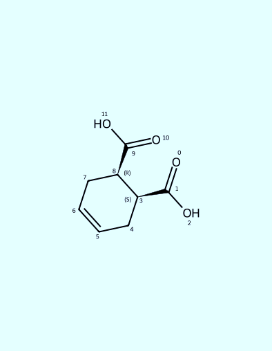 O=C(O)[C@H]1CC=CC[C@H]1C(=O)O